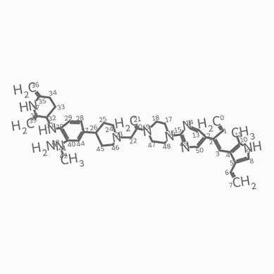 C=C/C(=C\c1c(C=C)c[nH]c1C)c1cnc(N2CCN(C(=C)CN3CCC(c4ccc(NC5CCC(=C)NC5=C)c(N(C)N)c4)CC3)CC2)nc1